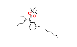 C=C/C=C(CC)/C(B1OC(C)(C)C(C)(C)O1)=C(/C=C(\C)CCCCCCCC)CC